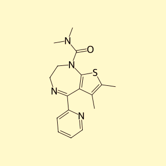 Cc1sc2c(c1C)C(c1ccccn1)=NCCN2C(=O)N(C)C